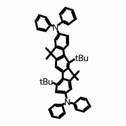 CC(C)(C)c1cc(N(c2ccccc2)c2ccccc2)cc2c1-c1cc3c(c(C(C)(C)C)c1C2(C)C)-c1ccc(N(c2ccccc2)c2ccccc2)cc1C3(C)C